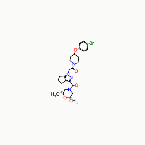 C[C@@H]1CN(C(=O)c2nn(CC(=O)N3CCC(Oc4ccc(Br)cc4)CC3)c3c2CCC3)C[C@H](C)O1